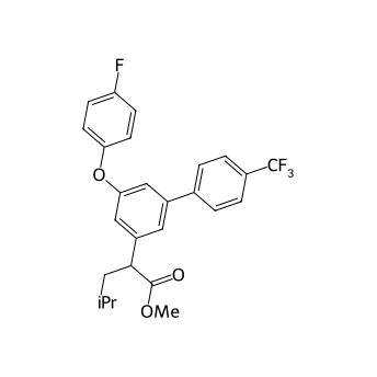 COC(=O)C(CC(C)C)c1cc(Oc2ccc(F)cc2)cc(-c2ccc(C(F)(F)F)cc2)c1